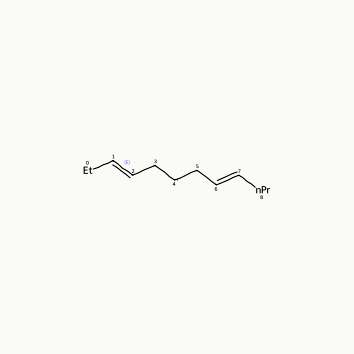 CC/C=C/C[CH]CC=CCCC